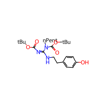 CCCCCN(C(=O)OC(C)(C)C)/C(=N\C(=O)OC(C)(C)C)NCCc1ccc(O)cc1